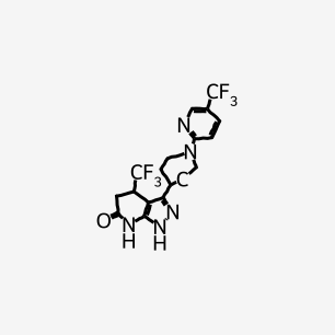 O=C1CC(C(F)(F)F)c2c(C3CCN(c4ccc(C(F)(F)F)cn4)CC3)n[nH]c2N1